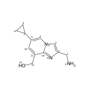 NCc1cn2cc(C3CC3)cc(CO)c2n1